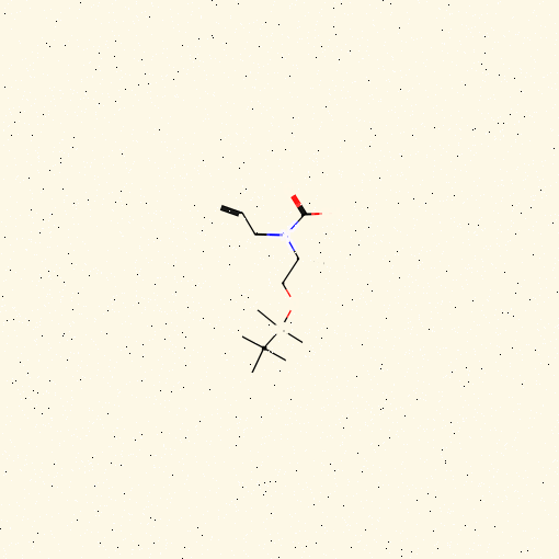 C=CCN(C(=O)O)[C@H](C)CO[Si](C)(C)C(C)(C)C